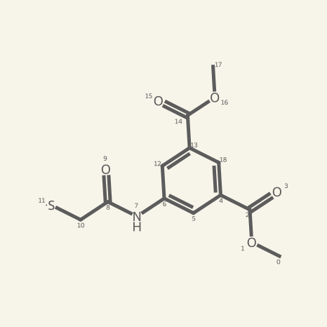 COC(=O)c1cc(NC(=O)C[S])cc(C(=O)OC)c1